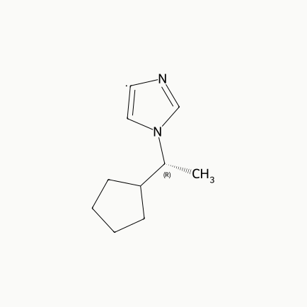 C[C@H](C1CCCC1)n1c[c]nc1